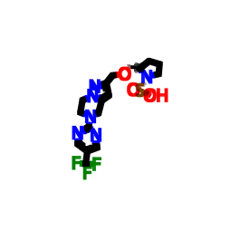 O=S(O)N1CCC[C@H]1COCc1cc2n(n1)CCN(c1ncc(C(F)(F)F)cn1)C2